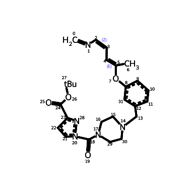 C=N/C=C\C=C(/C)Oc1cccc(CN2CCN(C(=O)n3ccc(C(=O)OC(C)(C)C)n3)CC2)c1